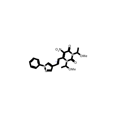 COC(C)n1c(/C=C/c2cnn(-c3ccccc3)c2)c([N+](=O)[O-])c(=O)n(C(C)OC)c1=O